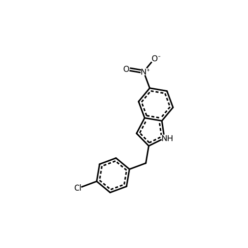 O=[N+]([O-])c1ccc2[nH]c(Cc3ccc(Cl)cc3)cc2c1